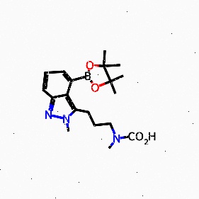 CN(CCCc1c2c(B3OC(C)(C)C(C)(C)O3)cccc2nn1C)C(=O)O